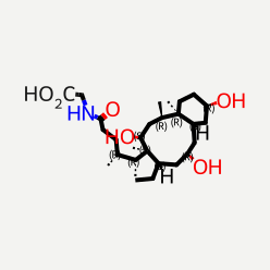 C[C@H](CCC(=O)NCC(=O)O)[C@H]1CC[C@H]2C[C@H](O)C[C@@H]3C[C@H](O)CC[C@]3(C)[C@H](C)C[C@H](O)[C@@]21C